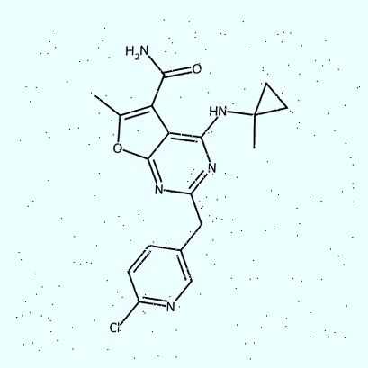 Cc1oc2nc(Cc3ccc(Cl)nc3)nc(NC3(C)CC3)c2c1C(N)=O